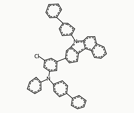 Clc1cc(-c2ccc3c4c5ccccc5ccc4n(-c4ccc(-c5ccccc5)cc4)c3c2)cc(N(c2ccccc2)c2ccc(-c3ccccc3)cc2)c1